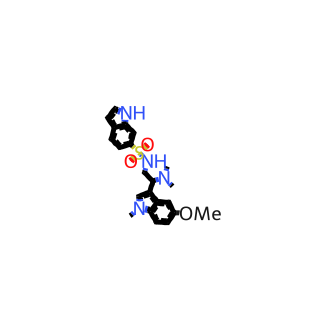 COc1ccc2c(c1)c(C(CNS(=O)(=O)c1ccc3cc[nH]c3c1)N(C)C)cn2C